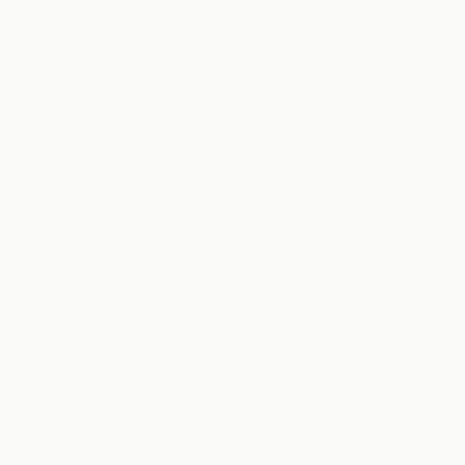 [CH]CC=C[CH2]